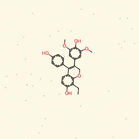 CCc1c(O)ccc2c1OCC(c1cc(OC)c(O)c(OC)c1)=C2c1ccc(O)cc1